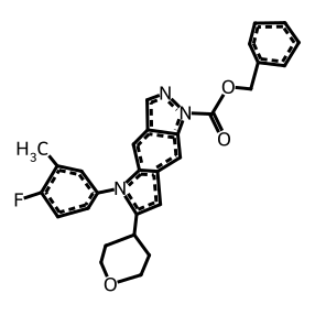 Cc1cc(-n2c(C3CCOCC3)cc3cc4c(cnn4C(=O)OCc4ccccc4)cc32)ccc1F